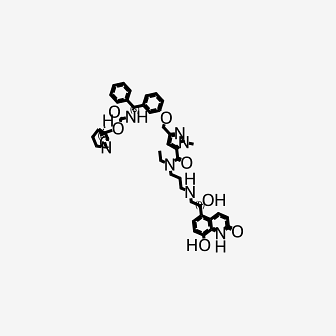 CCN(CCCNC[C@H](O)c1ccc(O)c2[nH]c(=O)ccc12)C(=O)c1cc(COc2cccc([C@@H](NC(=O)O[C@H]3CN4CCC3CC4)c3ccccc3)c2)nn1C